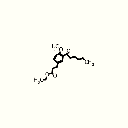 CCCCCC(=O)c1cc(CCC(=O)OCC)ccc1OC